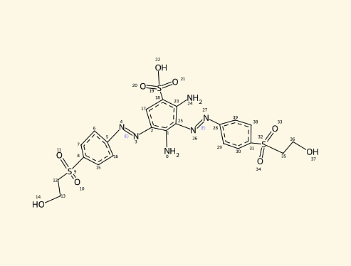 Nc1c(/N=N/c2ccc(S(=O)(=O)CCO)cc2)cc(S(=O)(=O)O)c(N)c1/N=N/c1ccc(S(=O)(=O)CCO)cc1